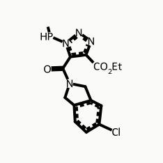 CCOC(=O)c1nnn(PC)c1C(=O)N1Cc2ccc(Cl)cc2C1